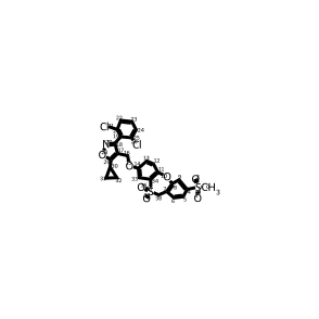 CS(=O)(=O)c1ccc2c(c1)Oc1ccc(OCc3c(-c4c(Cl)cccc4Cl)noc3C3CC3)cc1S(=O)(=O)C2